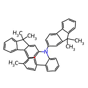 Cc1ccc(-c2ccccc2N(c2ccc3c(c2)C(C)(C)c2ccccc2-3)c2ccc3c(c2)C(C)(C)c2ccccc2-3)cc1